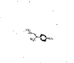 NC(CNO)c1ccc(O)cc1